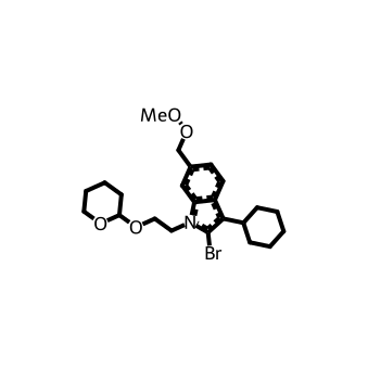 COOCc1ccc2c(C3CCCCC3)c(Br)n(CCOC3CCCCO3)c2c1